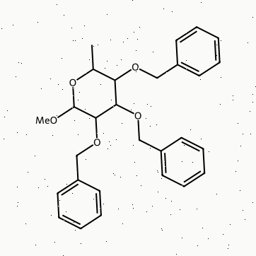 COC1OC(C)C(OCc2ccccc2)C(OCc2ccccc2)C1OCc1ccccc1